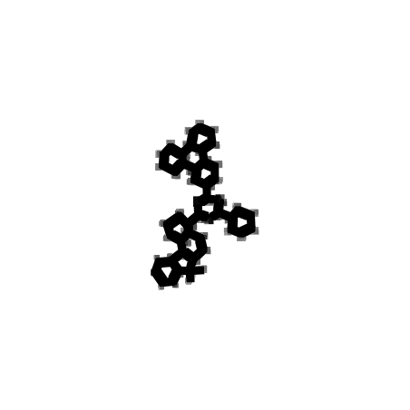 CC1(C)c2ccccc2-c2c1ccc1c(-c3nc(-c4ccccc4)nc(-c4ccc5c6ccccc6c6ccccc6c5c4)n3)cccc21